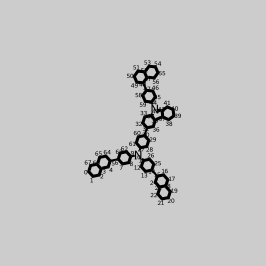 c1ccc2cc(-c3ccc(N(c4ccc(-c5ccc6ccccc6c5)cc4)c4ccc(-c5ccc6c(c5)c5ccccc5n6-c5ccc(-c6cccc7ccccc67)cc5)cc4)cc3)ccc2c1